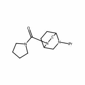 CC(C)N1CC2CCC1CN2C(=O)N1CCCC1